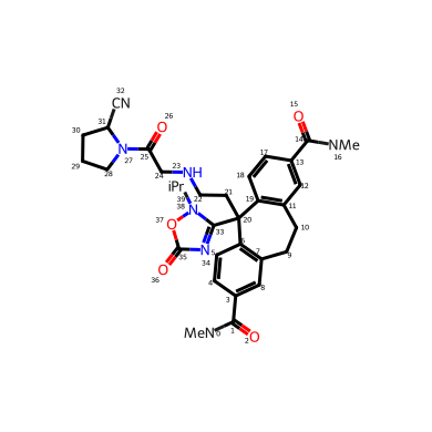 CNC(=O)c1ccc2c(c1)CCc1cc(C(=O)NC)ccc1C2(CCNCC(=O)N1CCCC1C#N)c1nc(=O)on1C(C)C